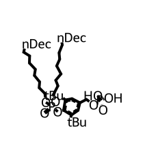 CCCCCCCCCCCCCCCCCCOP(=O)(OCCCCCCCCCCCCCCCCCC)Oc1c(C(C)(C)C)cc(COP(=O)(O)O)cc1C(C)(C)C